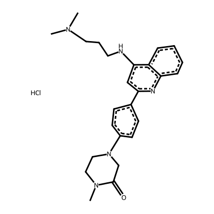 CN(C)CCCNc1cc(-c2ccc(N3CCN(C)C(=O)C3)cc2)nc2ccccc12.Cl